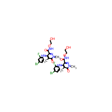 Cc1c(Nc2ccc(Br)cc2F)c(C(=O)NOCCO)nn(C)c1=O.Cc1c(Nc2ccc(Br)cc2F)c(C(=O)NOCCO)nn(C)c1=O